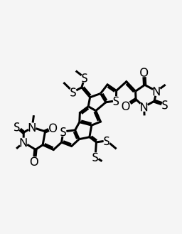 CSC(SC)=C1c2cc3c(cc2-c2sc(C=C4C(=O)N(C)C(=S)N(C)C4=O)cc21)C(=C(SC)SC)c1cc(C=C2C(=O)N(C)C(=S)N(C)C2=O)sc1-3